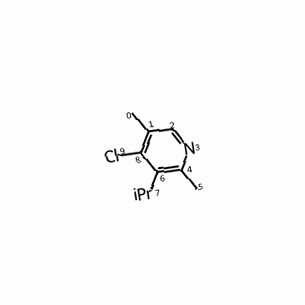 Cc1cnc(C)c(C(C)C)c1Cl